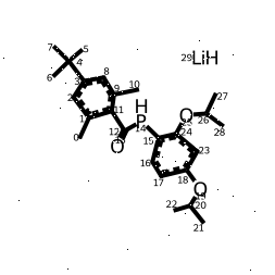 Cc1cc(C(C)(C)C)cc(C)c1C(=O)Pc1ccc(OC(C)C)cc1OC(C)C.[LiH]